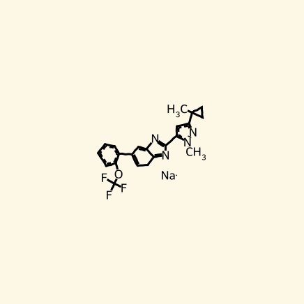 Cn1nc(C2(C)CC2)cc1C1=NC2=CC(c3ccccc3OC(F)(F)F)=CCC2=N1.[Na]